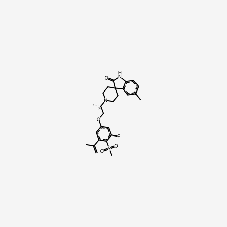 C=C(C)c1cc(OC[C@H](C)N2CCC3(CC2)C(=O)Nc2ccc(C)cc23)cc(F)c1S(C)(=O)=O